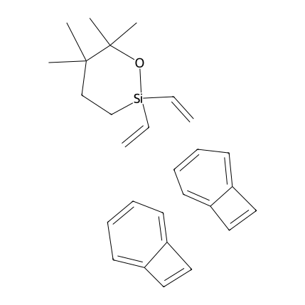 C1=Cc2ccccc21.C1=Cc2ccccc21.C=C[Si]1(C=C)CCC(C)(C)C(C)(C)O1